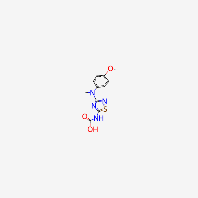 COc1ccc(N(C)c2nsc(NC(=O)O)n2)cc1